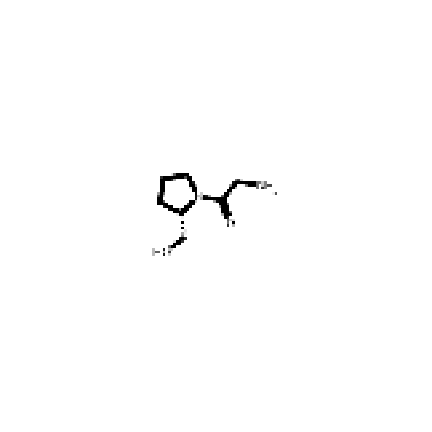 NCC(=O)N1CCC[C@H]1CO